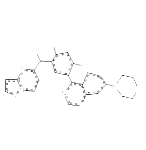 Oc1cc(F)c(-c2ncnc3cc(N4CCOCC4)ccc23)cc1C(O)c1ccn2nccc2n1